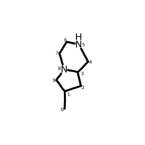 CC1CC2CNCCN2C1